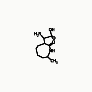 CC1CCCCC(C(N)C(=O)O)C(=O)N1